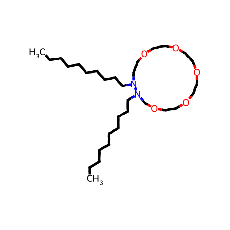 CCCCCCCCCCN1CCOCCOCCOCCOCCOCN1CCCCCCCCCC